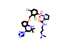 CN(C)CCCNC(=O)[C@@H]1CCCN1S(=O)(=O)c1ccc(Cl)c(COc2cccc3c2NC(C)(C)C=C3n2cncn2)c1Cl